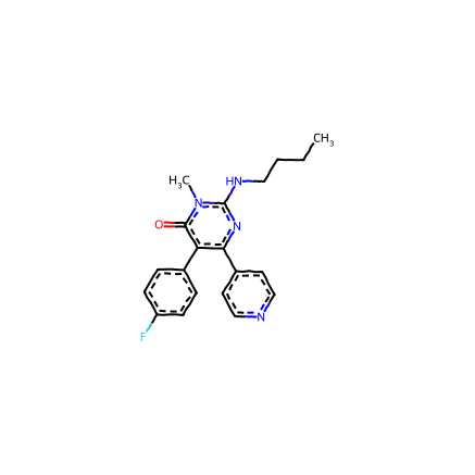 CCCCNc1nc(-c2ccncc2)c(-c2ccc(F)cc2)c(=O)n1C